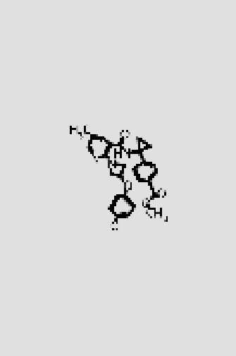 COC(=O)c1ccc(C2(NC(=O)c3cc(C)cnc3N3CC(Oc4ccc(Cl)cc4)C3)CC2)cc1